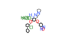 Cl.Cl.NC(Cc1cc(Cl)c(OCc2cccc(-c3ccccc3)c2Cl)cc1OCc1ccc2nonc2c1)CN1CCCCC1